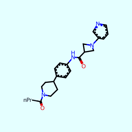 CCCC(=O)N1CCC(c2ccc(NC(=O)C3CN(c4cccnc4)C3)cc2)CC1